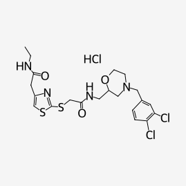 CCNC(=O)Cc1csc(SCC(=O)NCC2CN(Cc3ccc(Cl)c(Cl)c3)CCO2)n1.Cl